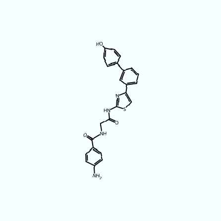 Nc1ccc(C(=O)NCC(=O)Nc2nc(-c3cccc(-c4ccc(O)cc4)c3)cs2)cc1